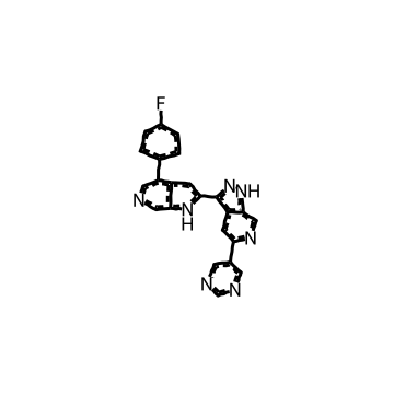 Fc1ccc(-c2cncc3[nH]c(-c4n[nH]c5cnc(-c6cncnc6)cc45)cc23)cc1